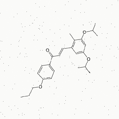 CCCOc1ccc(C(=O)C=Cc2cc(OC(C)C)cc(OC(C)C)c2C)cc1